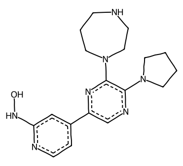 ONc1cc(-c2cnc(N3CCCC3)c(N3CCCNCC3)n2)ccn1